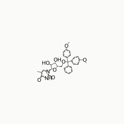 COc1ccc(C(OC[C@H]2O[C@@H](n3cc(C)c(=O)[nH]c3=O)[C@@H](O)[C@@H]2O)(c2ccccc2)c2ccc(OC)cc2)cc1